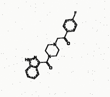 O=C(CN1CCN(C(=O)c2n[nH]c3ccccc23)CC1)c1ccc(F)cc1